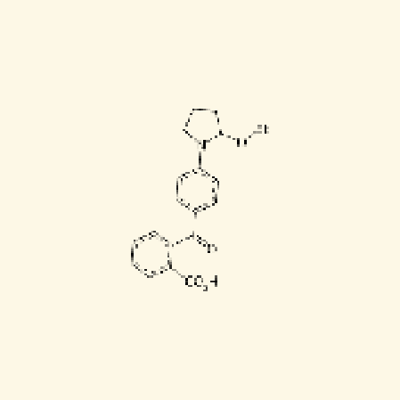 CCOC1CCCN1c1ccc(C(=O)c2ccccc2C(=O)O)cc1